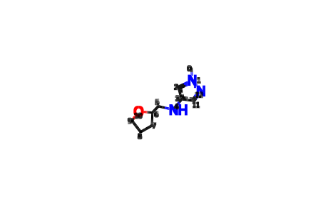 Cn1cc(NCC2CCCO2)cn1